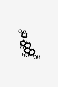 C[C@]12CCC3C(CC[C@]4(O)C[C@@H](O)CC[C@]34C)C13OC3C[C@@H]2c1ccoc(=O)c1